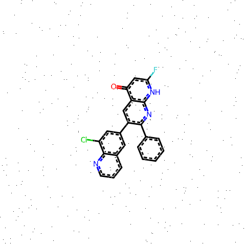 O=c1cc(F)[nH]c2nc(-c3ccccc3)c(-c3cc(Cl)c4ncccc4c3)cc12